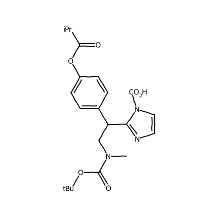 CC(C)C(=O)Oc1ccc(C(CN(C)C(=O)OC(C)(C)C)c2nccn2C(=O)O)cc1